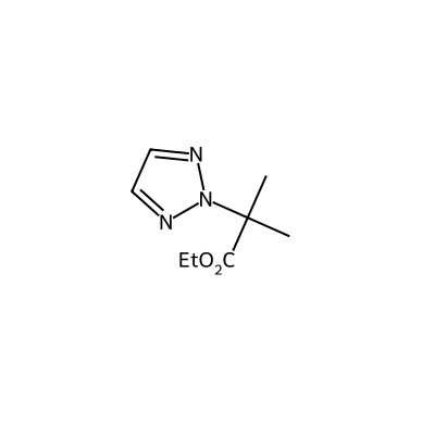 CCOC(=O)C(C)(C)n1nccn1